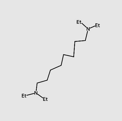 CCN(CC)CCCCCCCCN(CC)CC